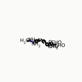 C=C/C(N)=C/C=C(\N)N1CCC2(CC1)CN(CC1CCN(c3ccc(C=O)c(C(=O)N(C)C(C=O)CCC=O)c3)CC1)C2